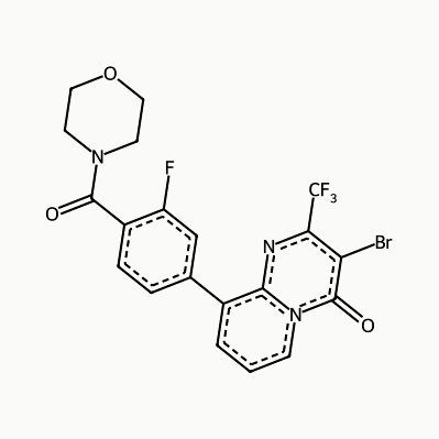 O=C(c1ccc(-c2cccn3c(=O)c(Br)c(C(F)(F)F)nc23)cc1F)N1CCOCC1